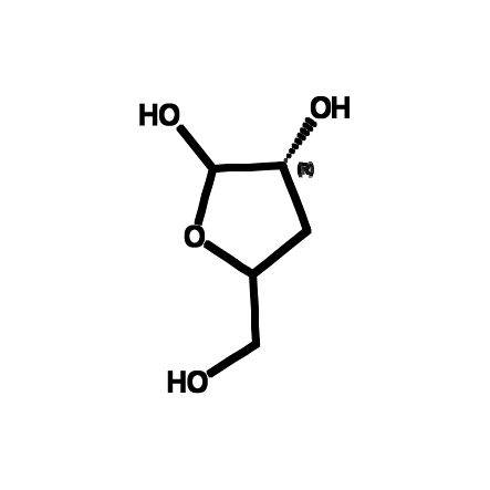 OCC1C[C@@H](O)C(O)O1